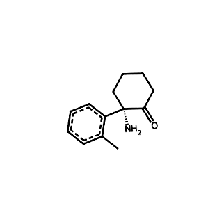 Cc1ccccc1[C@@]1(N)CCCCC1=O